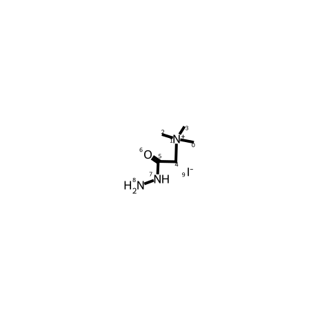 C[N+](C)(C)CC(=O)NN.[I-]